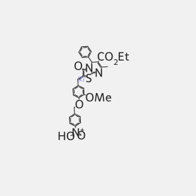 CCOC(=O)C1=C(C)N=c2s/c(=C\c3ccc(OCc4ccc([N+](=O)O)cc4)c(OC)c3)c(=O)n2C1c1ccccc1